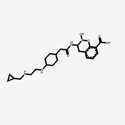 O=C(CC1CCC(NCCNCC2CC2)CC1)NC1Cc2cccc(C(=O)O)c2OB1O